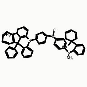 CC1CC=CC2=C1C(c1ccccc1)(c1ccccc1)c1ccccc1N2c1ccc([S+]([O-])c2ccc(N(C)c3ccccc3C3(C)C=CC=CC3)cc2)cc1